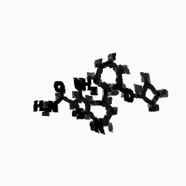 NC(=O)c1sc2nccc(-c3ccccc3OC3CCC3)c2c1N